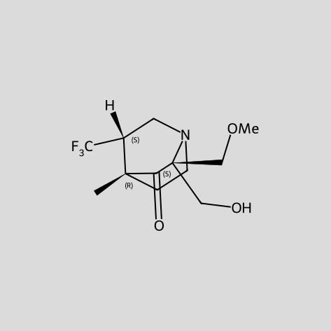 COC[C@@]1(CO)C(=O)[C@]2(C)CCN1C[C@H]2C(F)(F)F